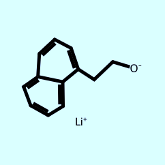 [Li+].[O-]CCc1cccc2ccccc12